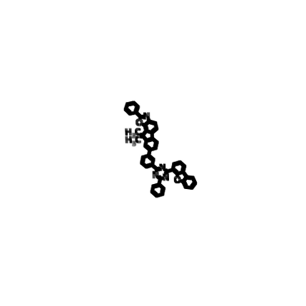 CC1(C)c2cc(-c3cccc(-c4nc(-c5ccccc5)nc(-c5cccc6c5oc5ccccc56)n4)c3)ccc2-c2ccc3nc(-c4ccccc4)oc3c21